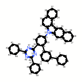 c1ccc(-c2cccc(-c3cc(-n4c5cc6ccccc6cc5c5c6ccccc6ccc54)ccc3-c3nc(-c4ccccc4)nc(-c4ccccc4)n3)c2)cc1